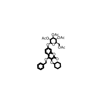 CC(=O)OC[C@H]1O[C@@H](Oc2ccc3c(OCc4ccccc4)c(OC4CCCCC4)c(=O)oc3c2)[C@H](OC(C)=O)[C@@H](OC(C)=O)[C@@H]1OC(C)=O